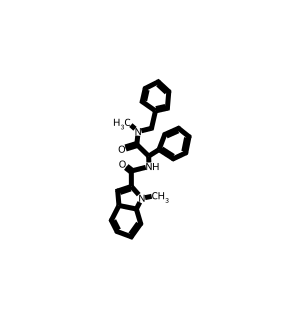 CN(Cc1ccccc1)C(=O)C(NC(=O)C1=CC2C=CC=CC2N1C)c1ccccc1